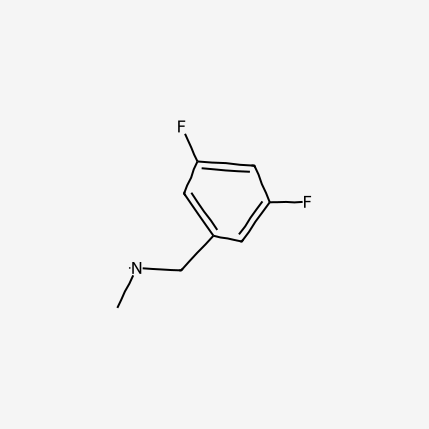 C[N]Cc1cc(F)cc(F)c1